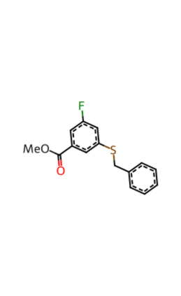 COC(=O)c1cc(F)cc(SCc2ccccc2)c1